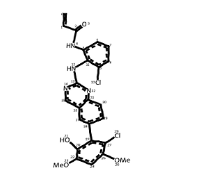 C=CC(=O)Nc1cccc(Cl)c1Nc1ncc2cc(-c3c(O)c(OC)cc(OC)c3Cl)ccc2n1